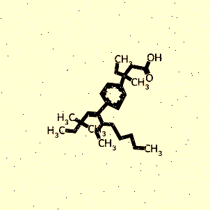 CCCCCC(CC)/C(=C\C(C)(C)CC)c1ccc(C(C)(CC)CC(=O)O)cc1